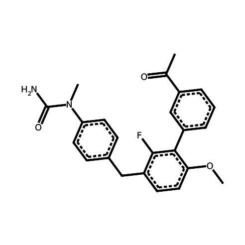 COc1ccc(Cc2ccc(N(C)C(N)=O)cc2)c(F)c1-c1cccc(C(C)=O)c1